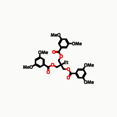 CCC(COC(=O)c1cc(OC)cc(OC)c1)(COC(=O)c1cc(OC)cc(OC)c1)COC(=O)c1cc(OC)cc(OC)c1